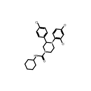 O=C(NC1CCCCC1)N1CCN(c2ccc(Cl)cc2Cl)C(c2ccc(Cl)cc2)C1